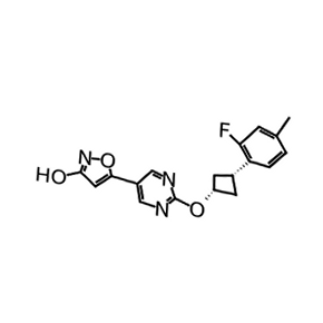 Cc1ccc([C@H]2C[C@@H](Oc3ncc(-c4cc(O)no4)cn3)C2)c(F)c1